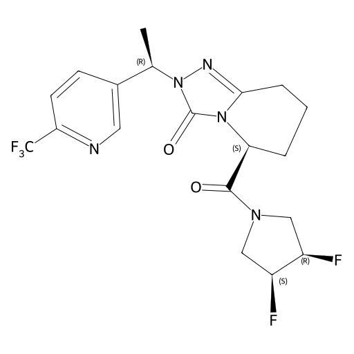 C[C@H](c1ccc(C(F)(F)F)nc1)n1nc2n(c1=O)[C@H](C(=O)N1C[C@@H](F)[C@@H](F)C1)CCC2